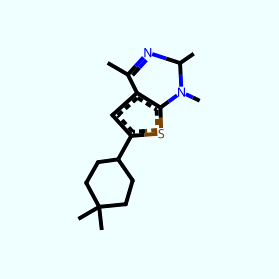 CC1=NC(C)N(C)c2sc(C3CCC(C)(C)CC3)cc21